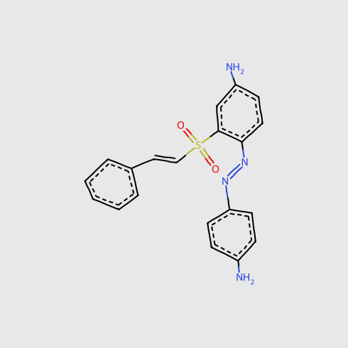 Nc1ccc(N=Nc2ccc(N)cc2S(=O)(=O)C=Cc2ccccc2)cc1